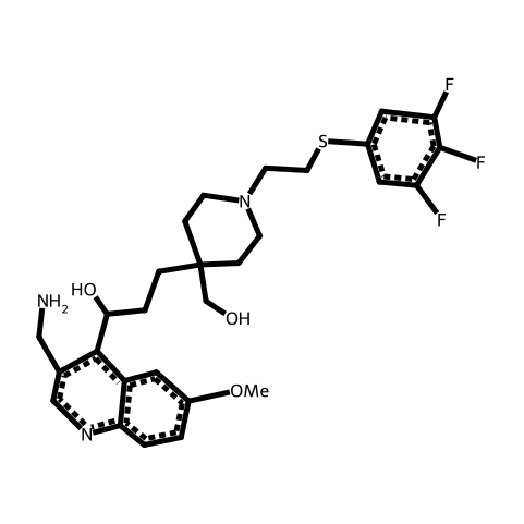 COc1ccc2ncc(CN)c(C(O)CCC3(CO)CCN(CCSc4cc(F)c(F)c(F)c4)CC3)c2c1